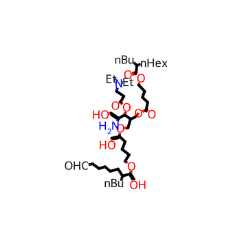 CCCCCCC(CCCC)C(=O)OCCCCC(=O)OCC(COC(=CO)CCCCOC(=CO)C(CCCC)CCCCCC=O)C(OC(=O)CCN(CC)CC)C(N)=CO